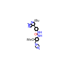 COc1cc(NC(=O)Nc2ccc(-c3cc(C(C)(C)C)nc4c3cnn4C)cc2)ccc1CN1CCN(C)CC1